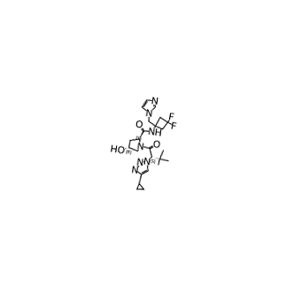 CC(C)(C)[C@@H](C(=O)N1C[C@H](O)C[C@H]1C(=O)NC1(Cn2ccnc2)CC(F)(F)C1)n1cc(C2CC2)nn1